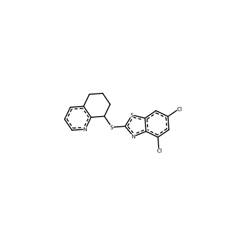 Clc1cc(Cl)c2nc(SC3CCCc4cccnc43)sc2c1